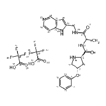 CC(NC(=O)[C@H]1C[C@H](Oc2ccccc2)CN1)C(=O)NCc1cc2cnccc2[nH]1.O=C(O)C(F)(F)F.O=C(O)C(F)(F)F